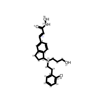 O=C(/C=C/c1ccc2c(c1)CCC2N(CCCO)CCc1ccccc1Cl)NO